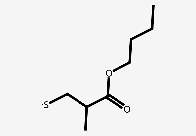 CCCCOC(=O)C(C)C[S]